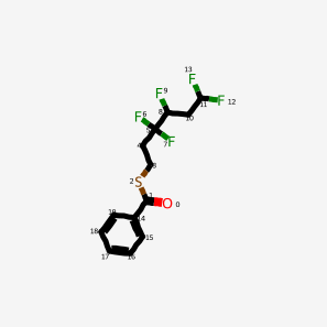 O=C(SCCC(F)(F)C(F)CC(F)F)c1ccccc1